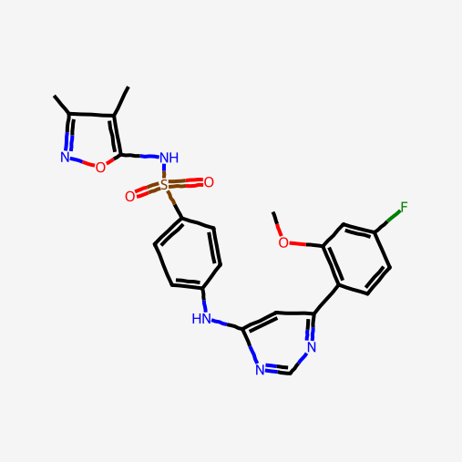 COc1cc(F)ccc1-c1cc(Nc2ccc(S(=O)(=O)Nc3onc(C)c3C)cc2)ncn1